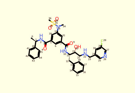 C[C@@H](NC(=O)c1cc(C(=O)N[C@@H](Cc2ccccc2)[C@H](O)CNCc2cncc(F)c2)cc(N(C)S(C)(=O)=O)c1)c1ccccc1